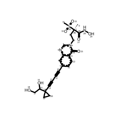 C[C@@](CCn1cnc2cc(C#CC#CC3(C(O)CO)CC3)ccc2c1=O)(C(=O)NO)S(C)(=O)=O